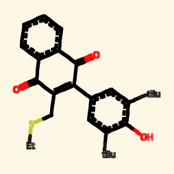 CCSCC1=C(c2cc(C(C)(C)C)c(O)c(C(C)(C)C)c2)C(=O)c2ccccc2C1=O